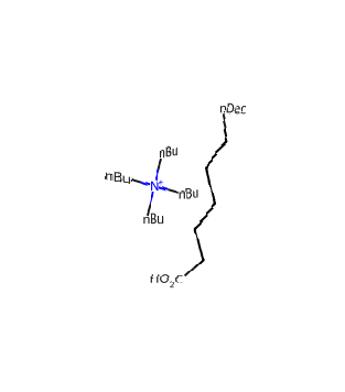 CCCCCCCCCCCCCCCC(=O)O.CCCC[N+](CCCC)(CCCC)CCCC